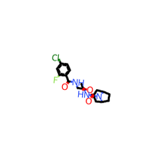 CCOC(=O)N1C2CCC1CC(NCCNC(=O)c1ccc(Cl)cc1F)C2